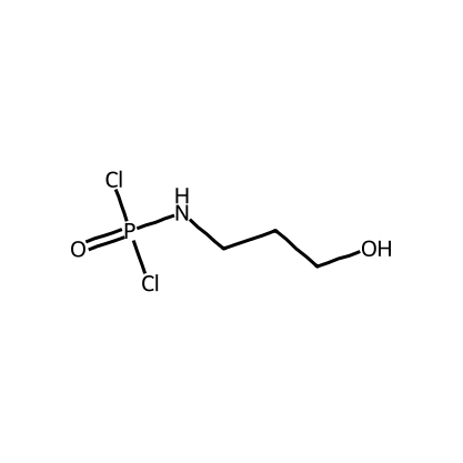 O=P(Cl)(Cl)NCCCO